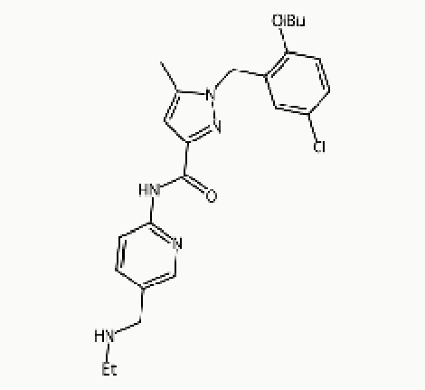 CCNCc1ccc(NC(=O)c2cc(C)n(Cc3cc(Cl)ccc3OCC(C)C)n2)nc1